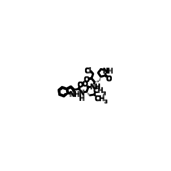 CC(C)C[C@H](NC(=O)c1cc2ccccc2[nH]1)C(=O)N[C@@H](C[C@@H]1CCNC1=O)C(=O)CCl